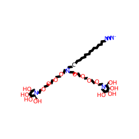 [N-]=[N+]=NCCCCCCCCCCCCCCCCCCN(CCOCCOCCOCCOCCN1C[C@H](O)[C@H](O)[C@@H](O)[C@@H]1CO)CCOCCOCCOCCOCCN1C[C@H](O)[C@H](O)[C@@H](O)[C@@H]1CO